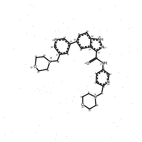 O=C(Nc1ccc(CN2CCOCC2)nc1)c1n[nH]c2ccc(-c3cncc(CN4CCOCC4)c3)cc12